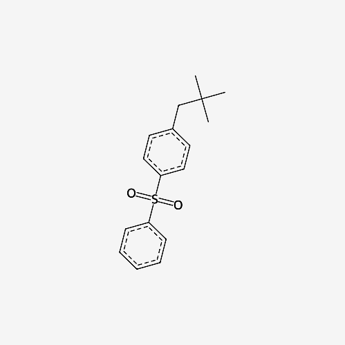 CC(C)(C)Cc1ccc(S(=O)(=O)c2ccccc2)cc1